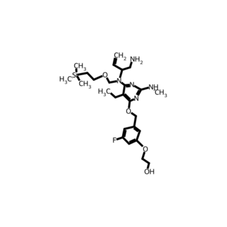 C=CC(CN)N(COCC[Si](C)(C)C)c1nc(NC)nc(OCc2cc(F)cc(OCCO)c2)c1CC